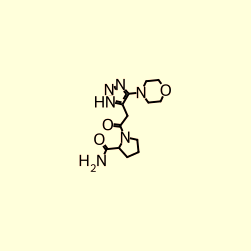 NC(=O)C1CCCN1C(=O)Cc1[nH]nnc1N1CCOCC1